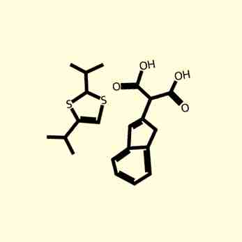 CC(C)C1=CSC(C(C)C)S1.O=C(O)C(C(=O)O)C1=Cc2ccccc2C1